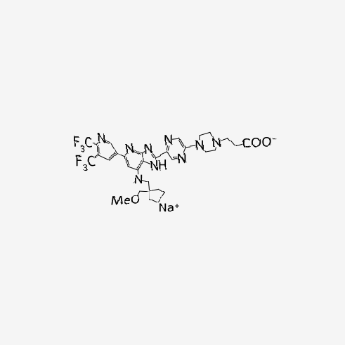 COCC1(CN(C)c2cc(-c3cnc(C(F)(F)F)c(C(F)(F)F)c3)nc3nc(-c4cnc(N5CCN(CCC(=O)[O-])CC5)cn4)[nH]c23)CCCC1.[Na+]